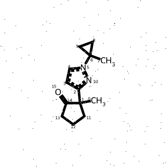 CC1(c2ccn(C3(C)CC3)n2)CCCC1=O